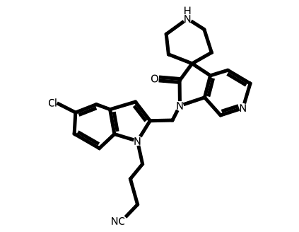 N#CCCCn1c(CN2C(=O)C3(CCNCC3)c3ccncc32)cc2cc(Cl)ccc21